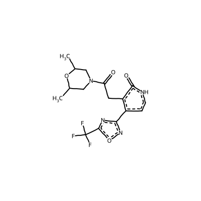 CC1CN(C(=O)Cc2c(-c3noc(C(F)(F)F)n3)cc[nH]c2=O)CC(C)O1